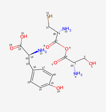 N[C@@H](CO)C(=O)OC(=O)[C@@H](N)CS.N[C@@H](Cc1ccc(O)cc1)C(=O)O